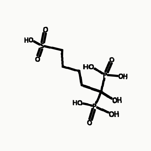 O=P(O)(O)C(O)(CCCCS(=O)(=O)O)P(=O)(O)O